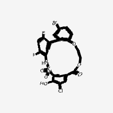 O=C1OCCOc2ccc(Br)cc2-c2cc(c(F)cc2F)NS(=O)(=O)c2cc1cc(Cl)c2O